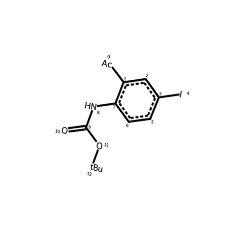 CC(=O)c1cc(I)ccc1NC(=O)OC(C)(C)C